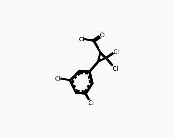 O=C(Cl)C1C(c2cc(Cl)cc(Cl)c2)C1(Cl)Cl